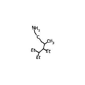 CCC(CC)C(CC)C(C)CCCN